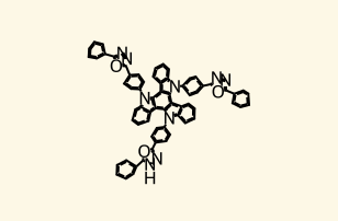 c1ccc(-c2nnc(-c3ccc(-n4c5ccccc5c5c6c(c7ccccc7n6-c6ccc(C7=NNC(c8ccccc8)O7)cc6)c6c(c7ccccc7n6-c6ccc(-c7nnc(-c8ccccc8)o7)cc6)c54)cc3)o2)cc1